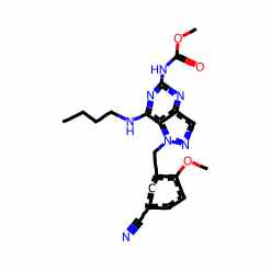 CCCCNc1nc(NC(=O)OC)nc2cnn(Cc3cc(C#N)ccc3OC)c12